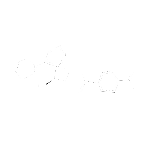 C[C@@H]1C[C@@H](OC(=O)c2ccc([N+](=O)[O-])cc2)c2ncnc(N3CCNCC3)c21